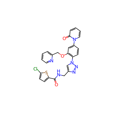 O=C(NCc1cn(-c2ccc(-n3ccccc3=O)cc2OCc2ccccn2)nn1)c1ccc(Cl)s1